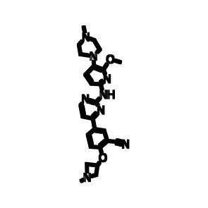 COc1nc(Nc2nccc(-c3ccc(OC4CN(C)C4)c(C#N)c3)n2)ccc1N1CCN(C)CC1